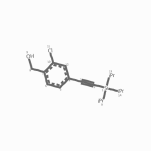 CC(C)[Si](C#Cc1ccc(CO)c(Cl)c1)(C(C)C)C(C)C